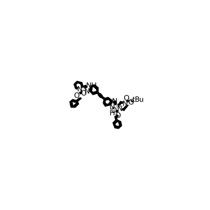 CC(C)(C)OC(=O)N1CCN(C(=O)OCc2ccccc2)[C@H](c2nc3cc(C#Cc4ccc5[nH]c([C@@H]6CCCCN6C(=O)OCc6ccccc6)nc5c4)ccc3[nH]2)C1